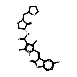 Cc1[nH]c(/C=C2\C(=O)Nc3ccc(F)cc32)c(C)c1C(=O)N[C@@H]1CON(CC2CCCO2)C1=O